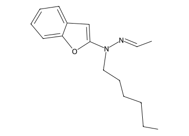 C/C=N/N(CCCCCC)c1cc2ccccc2o1